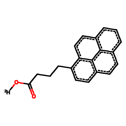 [2H]OC(=O)CCCc1ccc2ccc3cccc4ccc1c2c34